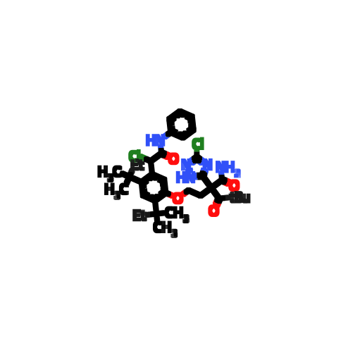 CCC(C)(C)c1cc(C(C)(C)CC)c(C(Cl)C(=O)Nc2ccccc2)cc1OCCC(C(N)=O)(C(=O)C(C)(C)C)c1nc(Cl)n[nH]1